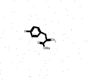 C=C(Cc1ccc(F)cc1)C(=O)OC